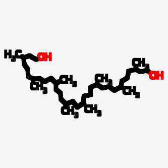 CC(CCO)CCCC(C)CCCC(C)CCCC(C)CCC(C)CCCC(C)CCCC(C)CCCC(C)CCO